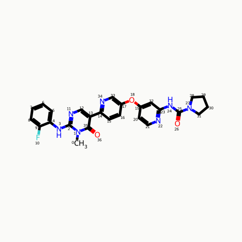 Cn1c(Nc2ccccc2F)ncc(-c2ccc(Oc3ccnc(NC(=O)N4CCCC4)c3)cn2)c1=O